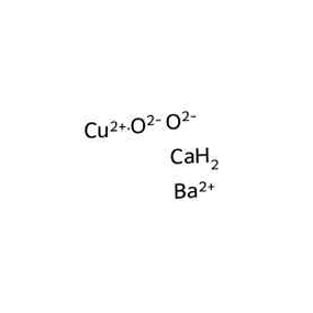 [Ba+2].[CaH2].[Cu+2].[O-2].[O-2]